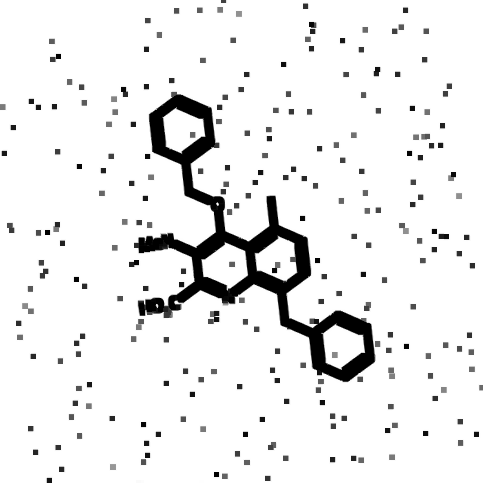 CNc1c(C(=O)O)nc2c(Cc3ccccc3)ccc(C)c2c1OCc1ccccc1